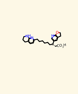 O=C(O)C[C@H](CCCCCCc1ccc2c(n1)NCCC2)c1cnc2c(c1)CCO2